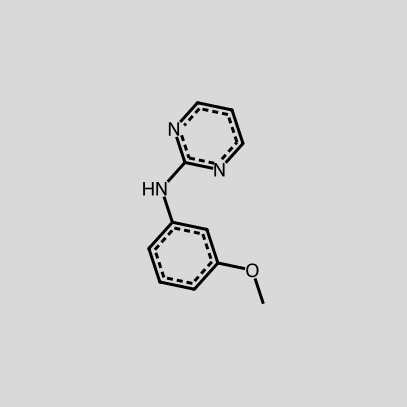 COc1cccc(Nc2ncccn2)c1